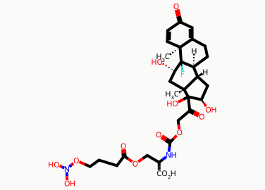 C[C@]12C[C@H](O)[C@@]3(F)[C@@H](CCC4=CC(=O)C=C[C@@]43C)[C@@H]1C[C@@H](O)C2(O)C(=O)COC(=O)NC(COC(=O)CCCON(O)O)C(=O)O